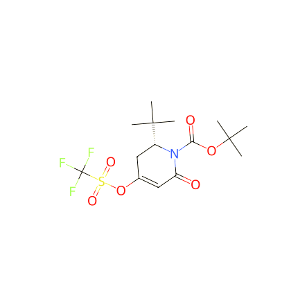 CC(C)(C)OC(=O)N1C(=O)C=C(OS(=O)(=O)C(F)(F)F)C[C@@H]1C(C)(C)C